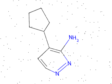 Nc1nnccc1C1CCCC1